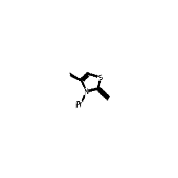 C=C1SC=C(C)N1C(C)C